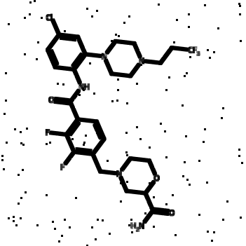 NC(=O)C1CN(Cc2ccc(C(=O)Nc3ccc(Cl)cc3N3CCN(CCC(F)(F)F)CC3)c(F)c2F)CCO1